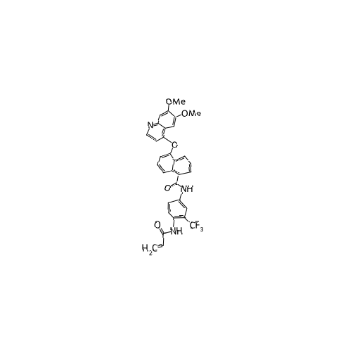 C=CC(=O)Nc1ccc(NC(=O)c2cccc3c(Oc4ccnc5cc(OC)c(OC)cc45)cccc23)cc1C(F)(F)F